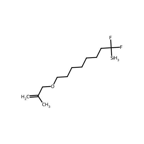 C=C(C)COCCCCCCCC(F)(F)[SiH3]